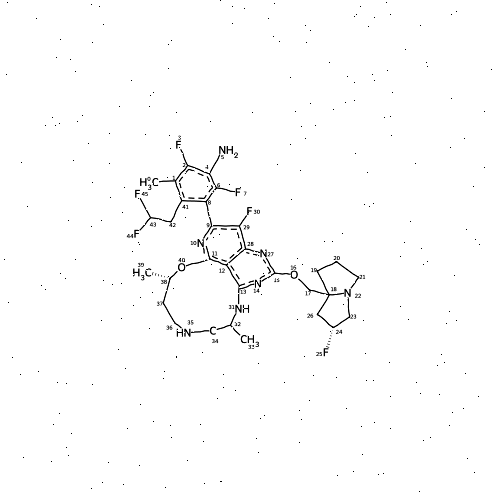 Cc1c(F)c(N)c(F)c(-c2nc3c4c(nc(OCC56CCCN5C[C@H](F)C6)nc4c2F)NC(C)CNCC[C@H](C)O3)c1CC(F)F